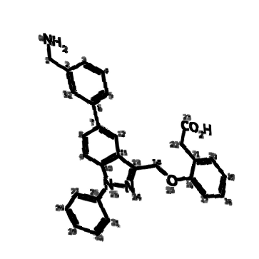 NCc1cccc(-c2ccc3c(c2)c(COc2ccccc2CC(=O)O)nn3-c2ccccc2)c1